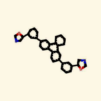 c1cc(-c2ccc3c4ccc(-c5cccc(-c6cnco6)c5)cc4c4ccccc4c3c2)cc(-c2cnco2)c1